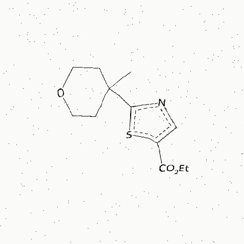 CCOC(=O)c1cnc(C2(C)CCOCC2)s1